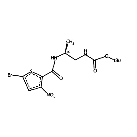 C[C@@H](CNC(=O)OC(C)(C)C)NC(=O)c1sc(Br)cc1[N+](=O)[O-]